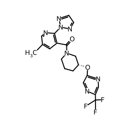 Cc1cnc(-n2nccn2)c(C(=O)N2CCC[C@@H](Oc3cnc(C(F)(F)F)cn3)C2)c1